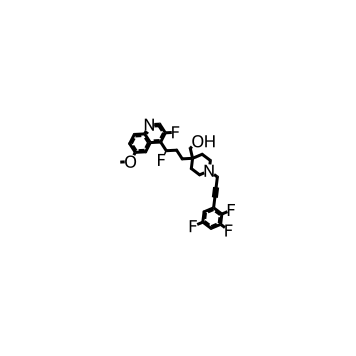 COc1ccc2ncc(F)c([C@@H](F)CCC3(CO)CCN(CC#Cc4cc(F)cc(F)c4F)CC3)c2c1